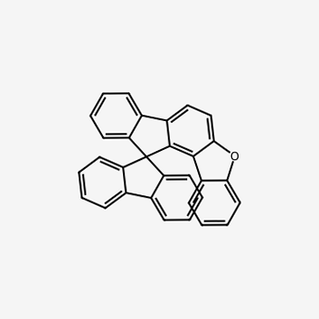 c1ccc2c(c1)-c1ccccc1C21c2ccccc2-c2ccc3oc4ccccc4c3c21